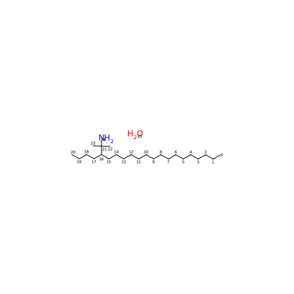 CCCCCCCCCCCCCCCCC(CCCC)C(C)(C)N.O